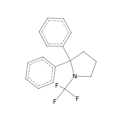 FC(F)(F)N1CCCC1(c1ccccc1)c1ccccc1